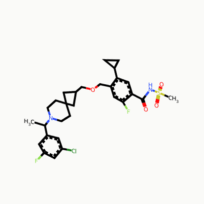 CC(c1cc(F)cc(Cl)c1)N1CCC2(CC1)CC(COCc1cc(F)c(C(=O)NS(C)(=O)=O)cc1C1CC1)C2